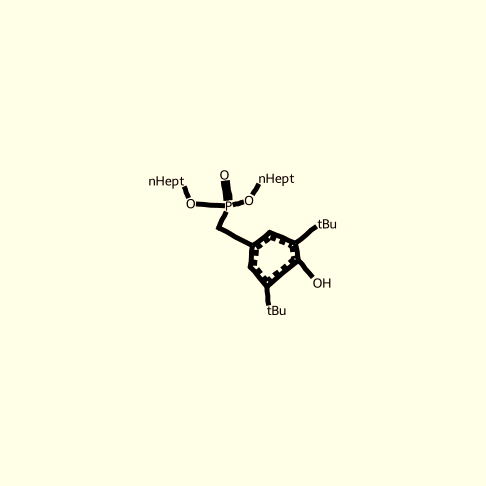 CCCCCCCOP(=O)(Cc1cc(C(C)(C)C)c(O)c(C(C)(C)C)c1)OCCCCCCC